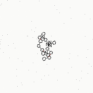 c1ccc(-c2cccc(-c3cccc(-c4cc(-c5nc(-c6ccccc6)nc(-c6ccc(-n7c8ccccc8c8ccccc87)c(-c7cccc(-c8cccc(-c9ccccc9)c8)c7)c6)n5)ccc4-n4c5ccccc5c5ccccc54)c3)c2)cc1